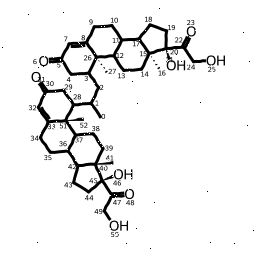 CC(CC1CC(=O)C=C2CCC3C(CC[C@@]4(C)C3CC[C@]4(O)C(=O)CO)[C@]21C)C1CC(=O)C=C2CCC3C(CC[C@@]4(C)C3CC[C@@]4(O)C(=O)CO)[C@]21C